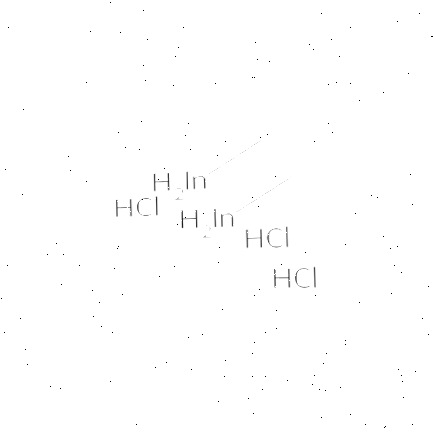 Cl.Cl.Cl.[CH3][InH2].[CH3][InH2]